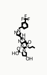 CCCn1c(N2C[C@H](O)C[C@@H]2C(=O)O)nc2nc(-c3cnn(Cc4cccc(C(F)(F)F)c4)c3)[nH]c2c1=O